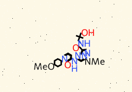 CNc1cc(Nc2cccn([C@H]3CC[C@H](OC)CC3)c2=O)nc2c(C(=O)NCC(C)(C)CO)cnn12